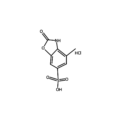 Cc1cc(S(=O)(=O)O)cc2oc(=O)[nH]c12.Cl